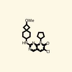 COC1CC2(CCC(Nc3ncc4cc(Cl)c(=O)n(C5CCCC5)c4n3)CC2)C1